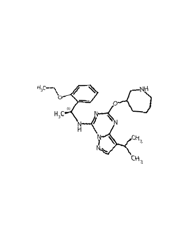 CCOc1ccccc1[C@H](C)Nc1nc(OC2CCCNC2)nc2c(C(C)C)cnn12